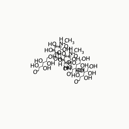 CC(=O)N[C@H]1C(O)O[C@H](CO)[C@H](O)[C@@H]1O.CC(=O)N[C@H]1C(O)O[C@H](CO)[C@H](O)[C@@H]1O.O=CC(O)C(O)C(O)C(O)CO.O=CC(O)C(O)C(O)C(O)CO.O=CC(O)C(O)C(O)C(O)CO